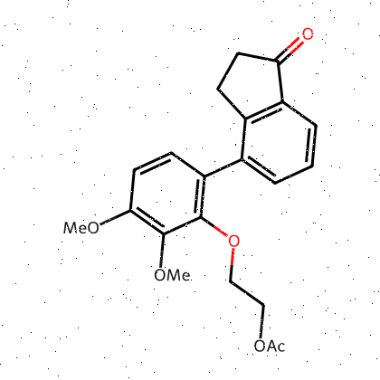 COc1ccc(-c2cccc3c2CCC3=O)c(OCCOC(C)=O)c1OC